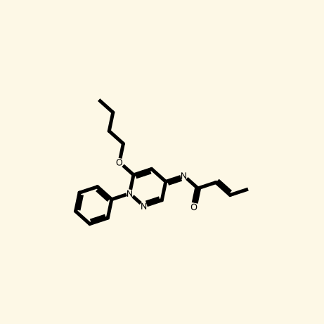 CC=CC(=O)N=c1cnn(-c2ccccc2)c(OCCCC)c1